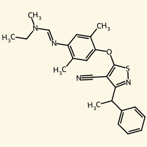 CCN(C)C=Nc1cc(C)c(Oc2snc(C(C)c3ccccc3)c2C#N)cc1C